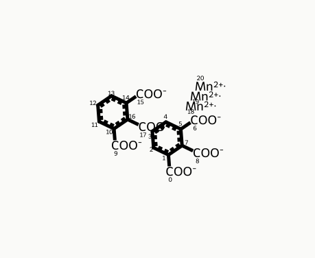 O=C([O-])c1cccc(C(=O)[O-])c1C(=O)[O-].O=C([O-])c1cccc(C(=O)[O-])c1C(=O)[O-].[Mn+2].[Mn+2].[Mn+2]